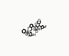 COC(=O)N[C@H](C(=O)Nc1cccc(F)c1CC[C@H]1CNC[C@H](C)N1S(=O)(=O)c1ccccc1)C(C1=CC(F)=CC1)C1CCOCC1